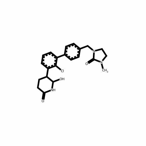 CN1CCN(Cc2ccc(-c3cccc(C4CCC(=O)NC4O)c3Cl)cc2)C1=O